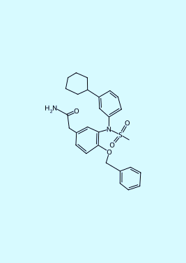 CS(=O)(=O)N(c1cccc(C2CCCCC2)c1)c1cc(CC(N)=O)ccc1OCc1ccccc1